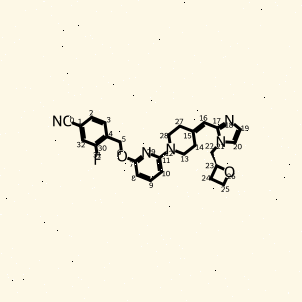 N#Cc1ccc(COc2cccc(N3CCC(=Cc4nccn4C[C@@H]4CCO4)CC3)n2)c(F)c1